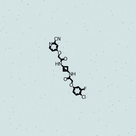 N#Cc1cc(OCC(=O)NC23CC(NC(=O)COc4ccc(Cl)c(F)c4)(C2)C3)ccn1